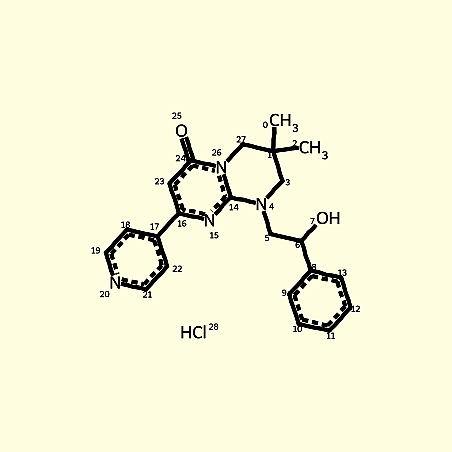 CC1(C)CN(CC(O)c2ccccc2)c2nc(-c3ccncc3)cc(=O)n2C1.Cl